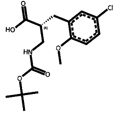 COc1ccc(Cl)cc1C[C@H](CNC(=O)OC(C)(C)C)C(=O)O